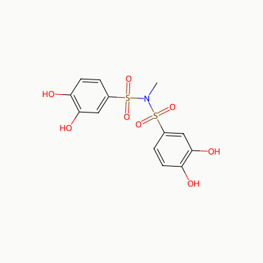 CN(S(=O)(=O)c1ccc(O)c(O)c1)S(=O)(=O)c1ccc(O)c(O)c1